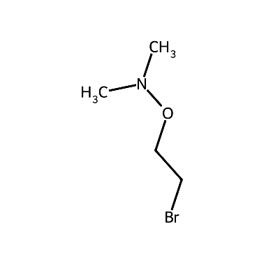 CN(C)OCCBr